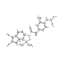 CC1(C)C[C@@H](C(=O)Nc2cnc(OC(F)F)c(C#N)c2)c2cnc3c(F)c(F)nn3c21